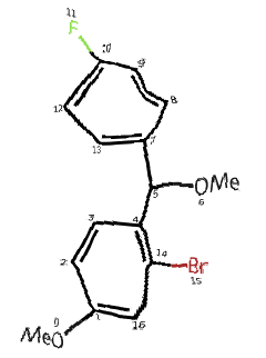 COc1ccc(C(OC)c2ccc(F)cc2)c(Br)c1